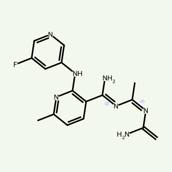 C=C(N)/N=C(C)\N=C(/N)c1ccc(C)nc1Nc1cncc(F)c1